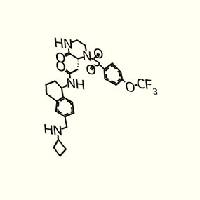 O=C(C[C@@H]1C(=O)NCCN1S(=O)(=O)c1ccc(OC(F)(F)F)cc1)N[C@@H]1CCCc2cc(CNC3CCC3)ccc21